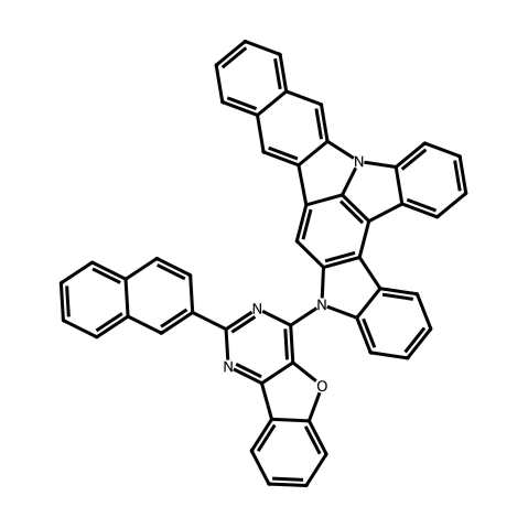 c1ccc2cc(-c3nc(-n4c5ccccc5c5c6c7ccccc7n7c8cc9ccccc9cc8c(cc54)c67)c4oc5ccccc5c4n3)ccc2c1